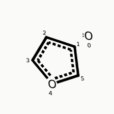 [O].c1ccoc1